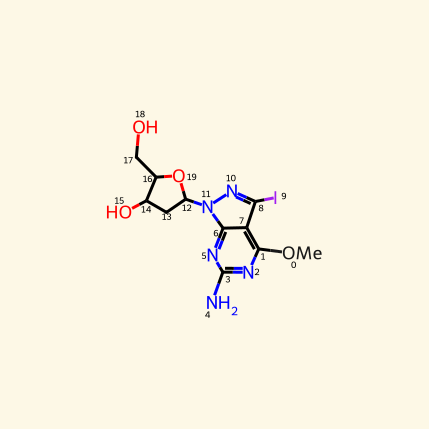 COc1nc(N)nc2c1c(I)nn2C1CC(O)C(CO)O1